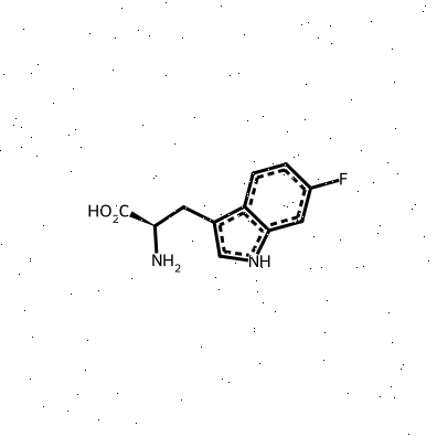 N[C@H](Cc1c[nH]c2cc(F)ccc12)C(=O)O